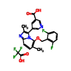 Cc1ccc2nc(C)c(-c3cncc(C(=O)O)c3)n2c1OCc1c(F)cccc1F.O=C(O)C(F)(F)F